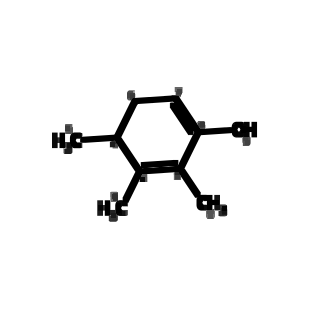 CC1=C(C)C(C)CC=C1O